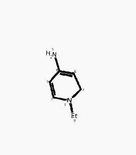 CCN1C=CC(N)=CC1